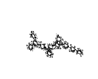 c1ccc(-c2ccc(-c3ccc(-n4c5ccccc5c5cc(-c6ccc7c(c6)c6ccccc6n7-c6ccc(-c7cc(-c8ccccc8)cc(-c8ccccc8)n7)cc6)ccc54)cc3)cc2)cc1